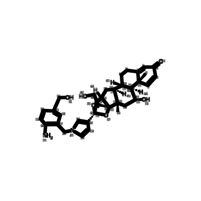 C[C@]12C=CC(=O)C=C1CC[C@@H]1[C@@H]2[C@@H](O)C[C@@]2(C)[C@H]1C[C@H]1O[C@@H](c3ccn(Cc4cc(CO)ccc4N)c3)O[C@]12C(=O)CO